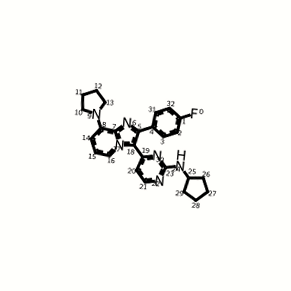 Fc1ccc(-c2nc3c(N4CCCC4)cccn3c2-c2ccnc(NC3CCCC3)n2)cc1